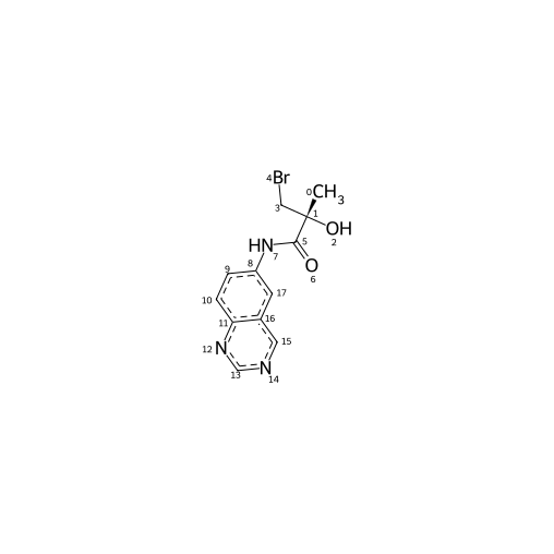 C[C@](O)(CBr)C(=O)Nc1ccc2ncncc2c1